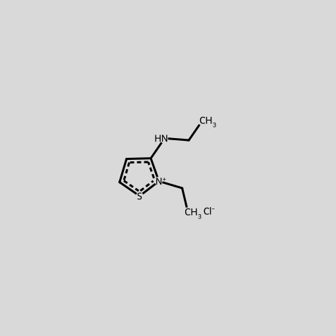 CCNc1ccs[n+]1CC.[Cl-]